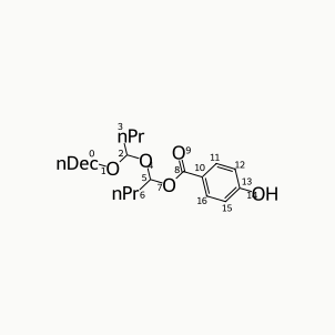 CCCCCCCCCCOC(CCC)OC(CCC)OC(=O)c1ccc(O)cc1